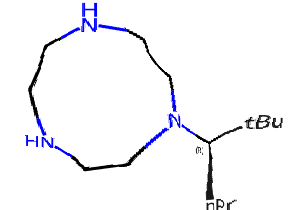 CCC[C@@H](N1CCNCCNCC1)C(C)(C)C